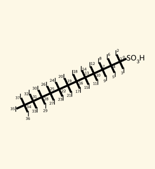 O=S(=O)(O)C(I)(I)C(I)(I)C(I)(I)C(I)(I)C(I)(I)C(I)(I)C(I)(I)C(I)(I)C(I)(I)C(I)(I)C(I)(I)C(I)(I)I